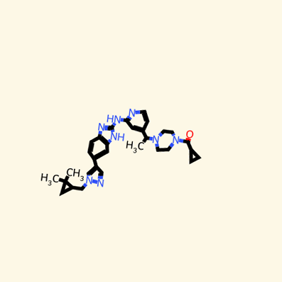 CC(c1ccnc(Nc2nc3ccc(-c4cnn(CC5CC5(C)C)c4)cc3[nH]2)c1)N1CCN(C(=O)C2CC2)CC1